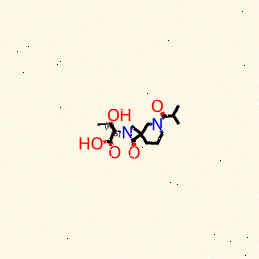 CC(C)C(=O)N1CCCC2(C1)CN([C@H](C(=O)O)[C@@H](C)O)C2=O